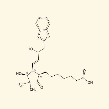 CC1(C)C(=O)[C@H](CCCCCCC(=O)O)[C@H](C=CC(O)Cc2cc3ccccc3s2)[C@@H]1O